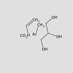 C=CC(=O)O.CC(C)=O.OCC(O)CO